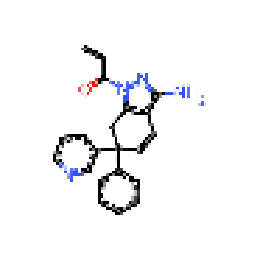 C=CC(=O)n1nc(N)c2c1CC(c1ccccc1)(c1cccnc1)C=C2